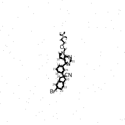 CS(C)(C)CCOCn1ccc2c(-c3cccc(C4(C#N)Cc5ccc(Br)cc5C4)c3)ncnc21